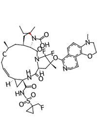 CCC(C)N(C(=O)O)[C@@H]1C(=O)N2[C@@H](C[C@@](C)(Oc3nccc4c5c(ccc34)N(C)CCO5)C2(F)F)C(=O)N[C@]2(C(=O)NS(=O)(=O)C3(CF)CC3)C[C@H]2/C=C\CC[C@@H](C)C[C@H]1CC